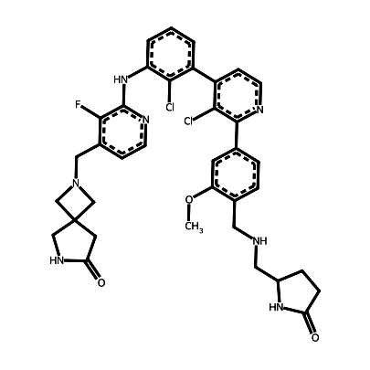 COc1cc(-c2nccc(-c3cccc(Nc4nccc(CN5CC6(CNC(=O)C6)C5)c4F)c3Cl)c2Cl)ccc1CNCC1CCC(=O)N1